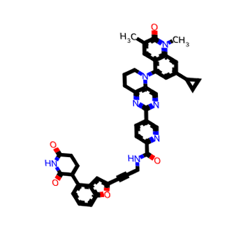 Cc1cc2c(N3CCCc4nc(-c5ccc(C(=O)NCC#Cc6cc7c(C8CCC(=O)NC8=O)cccc7o6)nc5)ncc43)cc(C3CC3)cc2n(C)c1=O